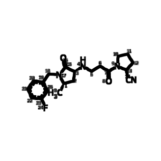 C[C@@H]1C[C@H](NCCC(=O)N2CCCC2C#N)C(=O)N1Cc1cccc(F)c1